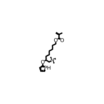 C=C(C)C(=O)OCCCCCCC(C[N+](C)(C)C)Oc1ccc[pH]1